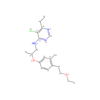 CCOCCc1ccc(OC(C)CNc2ncnc(CC)c2Cl)cc1C